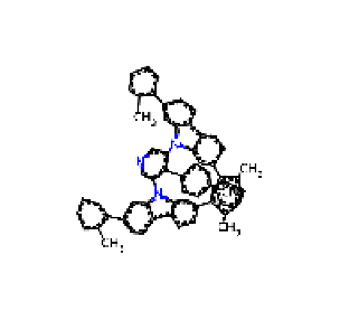 Cc1ccccc1-c1ccc2c3ccc(-c4ccccc4C)cc3n(-c3cncc(-n4c5cc(-c6ccccc6C)ccc5c5ccc(-c6ccccc6C)cc54)c3-c3ccc(C#N)cc3)c2c1